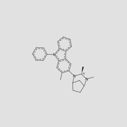 Cc1cc2c(cc1N1C3CCC(C3)N(C)[C@@H]1C)c1ccccc1n2-c1ccccc1